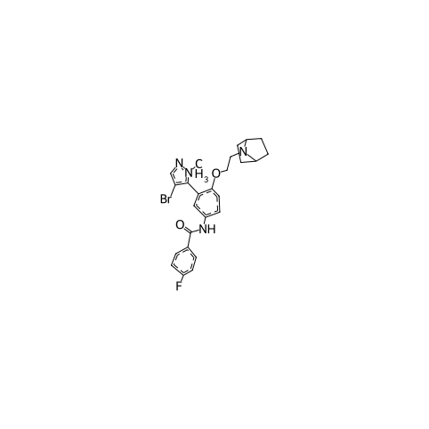 Cn1ncc(Br)c1-c1cc(NC(=O)c2ccc(F)cc2)ccc1OCCN1C2CCC1CC2